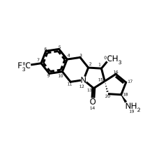 CC1C2Cc3ccc(C(F)(F)F)cc3CN2C(=O)[C@]12C=C[C@@H](N)C2